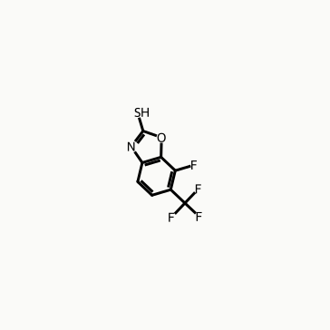 Fc1c(C(F)(F)F)ccc2nc(S)oc12